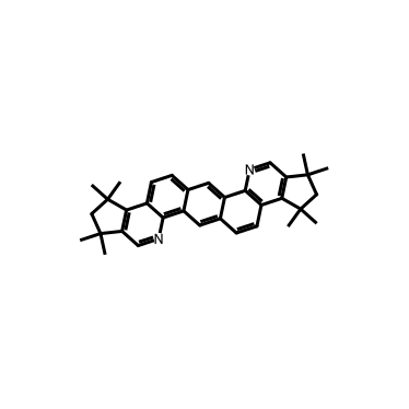 CC1(C)CC(C)(C)c2c1cnc1c2ccc2cc3c(ccc4c5c(cnc43)C(C)(C)CC5(C)C)cc21